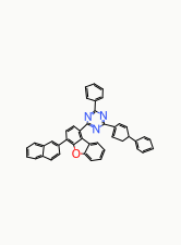 C1=CC(c2ccccc2)CC=C1c1nc(-c2ccccc2)nc(-c2ccc(-c3ccc4ccccc4c3)c3oc4ccccc4c23)n1